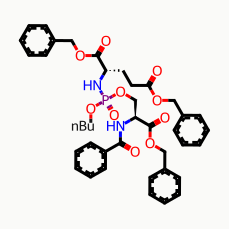 CCCCOP(=O)(N[C@@H](CCC(=O)OCc1ccccc1)C(=O)OCc1ccccc1)OC[C@H](NC(=O)c1ccccc1)C(=O)OCc1ccccc1